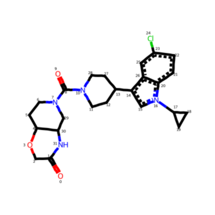 O=C1COC2CCN(C(=O)N3CCC(c4cn(C5CC5)c5ccc(Cl)cc45)CC3)CC2N1